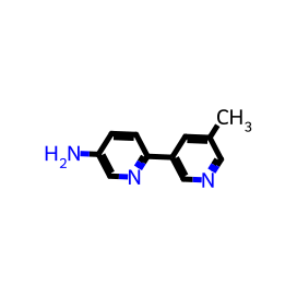 Cc1cncc(-c2ccc(N)cn2)c1